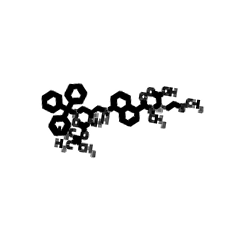 CSCC[C@@H](C(=O)O)N(C)C(=O)c1cccc2c(NC[C@H](CSC(c3ccccc3)(c3ccccc3)c3ccccc3)NC(=O)OC(C)(C)C)cccc12